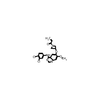 C=CC(=O)N1CC(Oc2cc3c(Nc4ccc(Cl)c(Cl)c4)ncnc3cc2OC)C1